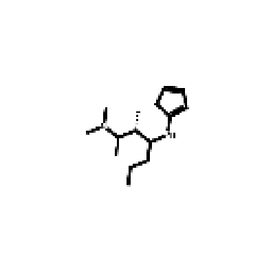 CCCC(PC1=CC=CC1)[C@@H](C)[C@@H](C)N(C)C